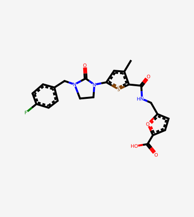 Cc1cc(N2CCN(Cc3ccc(F)cc3)C2=O)sc1C(=O)NCc1ccc(C(=O)O)o1